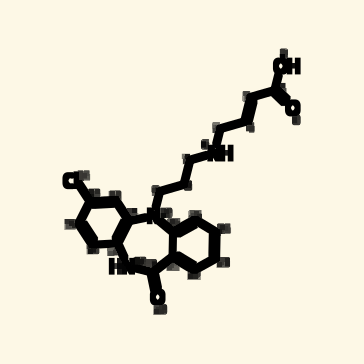 O=C(O)/C=C/CNCCCN1c2cc(Cl)ccc2NC(=O)c2ccccc21